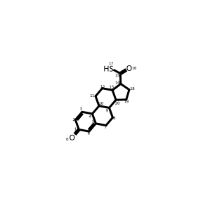 O=C1C=CC2C(=C1)CCC1C2CCC2C(C(=O)S)CCC21